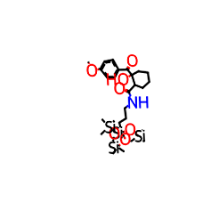 COc1ccc(C(=O)C2(O)CCCCC2C(=O)NCCC[Si](O[Si](C)(C)C)(O[Si](C)(C)C)O[Si](C)(C)C)cc1